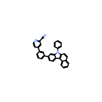 N#Cc1cc(-c2cccc(-c3ccc4c5c6ccccc6ccc5n(-c5ccccc5)c4c3)c2)ccn1